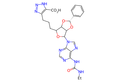 CCNC(=O)Nc1ncnc2c1ncn2C1OC(CCCc2nn[nH]c2C(=O)O)C2O[C@H](c3ccccc3)OC21